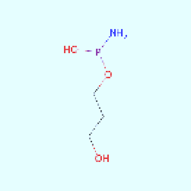 NP(O)OCCCO